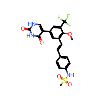 COc1c(C=Cc2ccc(NS(C)(=O)=O)cc2)cc(-c2c[nH]c(=O)[nH]c2=O)cc1C(F)(F)F